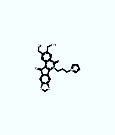 O=C1c2cc3c(cc2-c2c1c1cc(CO)c(CO)cc1c(=O)n2CCCn1cccc1)OCO3